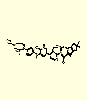 C[C@@H]1CN(C2COC2)CCN1c1ccc(Nc2cc(C3C=CN=C(N4CCn5c(cc6c5CC(C)(C)C6)C4=O)C3CO)cn(C)c2=O)nc1